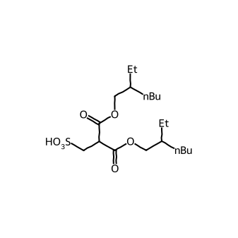 CCCCC(CC)COC(=O)C(CS(=O)(=O)O)C(=O)OCC(CC)CCCC